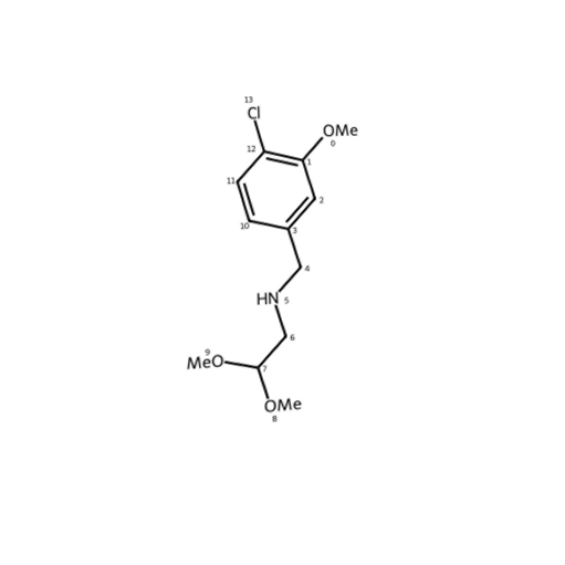 COc1cc(CNCC(OC)OC)ccc1Cl